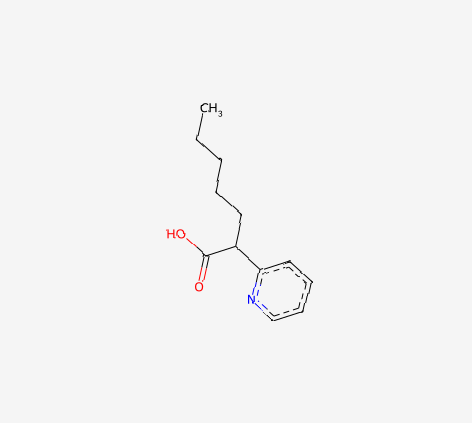 CCCCCC(C(=O)O)c1ccccn1